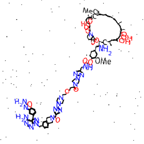 CO[C@H]1C[C@@H]2CC[C@@H](C)[C@@](O)(O2)C(=O)C(=O)N2CCCC[C@H]2C(=O)O[C@H]([C@H](N)C[C@@H]2CC[C@@H](OC(=O)NCc3cnc(N4CCN(C(=O)CCOCCN5CCN(c6ncc(C(=O)N7CCc8cc(Cn9nc(-c%10ccc%11oc(N)nc%11c%10)c%10c(N)ncnc%109)ccc8C7)cn6)CC5)CC4)nc3)[C@H](OC)C2)CC[C@H](C)/C=C(\C)[C@@H](O)[C@@H](O)C(=O)[C@H](C)C[C@H](C)/C=C/C=C/C=C/1C